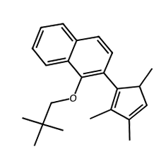 CC1=CC(C)C(c2ccc3ccccc3c2OCC(C)(C)C)=C1C